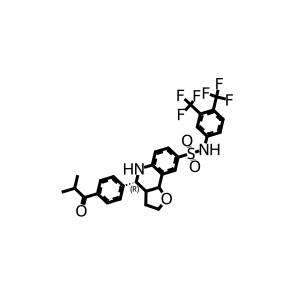 CC(C)C(=O)c1ccc([C@@H]2Nc3ccc(S(=O)(=O)Nc4ccc(C(F)(F)F)c(C(F)(F)F)c4)cc3C3OCCC32)cc1